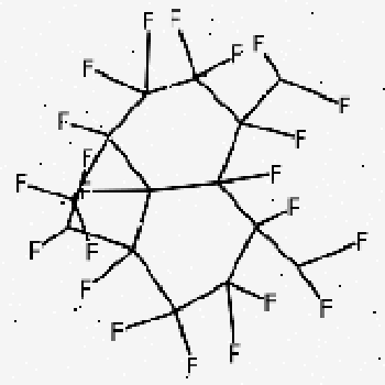 FC(F)C1(F)C(F)(F)C(F)(F)C(F)(C(F)F)C2(F)C(F)(C(F)F)C(F)(F)C(F)(F)C(F)(C(F)F)C12F